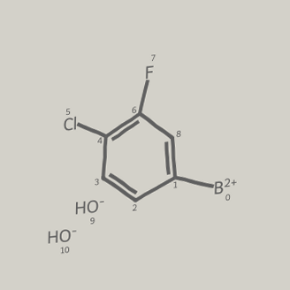 [B+2]c1ccc(Cl)c(F)c1.[OH-].[OH-]